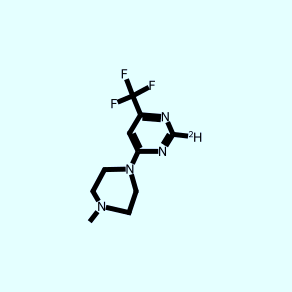 [2H]c1nc(N2CCN(C)CC2)cc(C(F)(F)F)n1